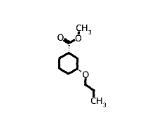 CCCO[C@@H]1CCC[C@H](C(=O)OC)C1